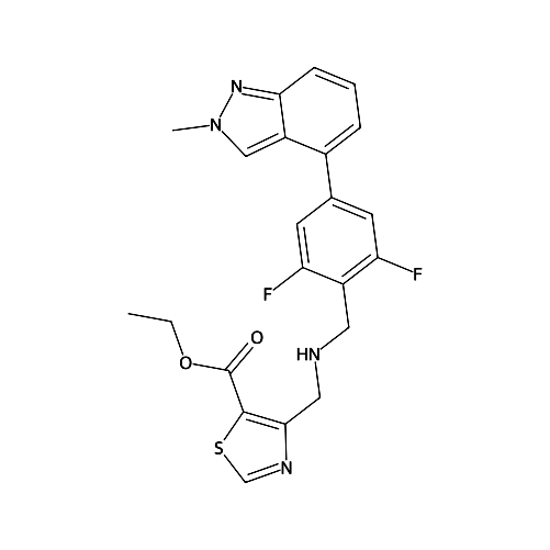 CCOC(=O)c1scnc1CNCc1c(F)cc(-c2cccc3nn(C)cc23)cc1F